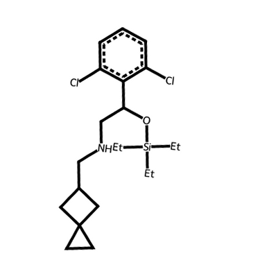 CC[Si](CC)(CC)OC(CNCC1CC2(CC2)C1)c1c(Cl)cccc1Cl